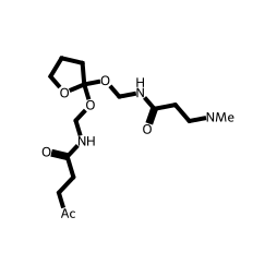 CNCCC(=O)NCOC1(OCNC(=O)CCC(C)=O)CCCO1